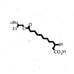 CCCCC(CC)COC(=O)CCCCCCCCC(CC(=O)O)C(C)C